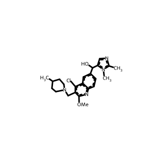 COc1nc2ccc(C(O)c3cnc(C)n3C)cc2c(Cl)c1CN1CCC(C)CC1